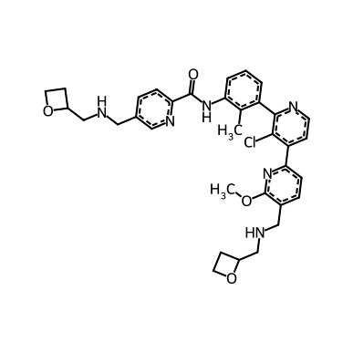 COc1nc(-c2ccnc(-c3cccc(NC(=O)c4ccc(CNCC5CCO5)cn4)c3C)c2Cl)ccc1CNCC1CCO1